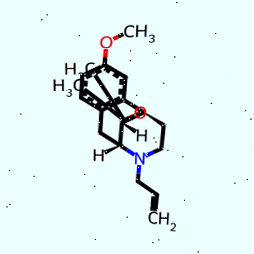 C=CCN1CC[C@]23COC(C)(C)C[C@H]2[C@H]1Cc1ccc(OC)cc13